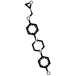 Clc1ccc(N2CCN(c3ccc(OC[C@H]4CO4)cc3)CC2)cc1